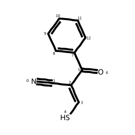 N#C/C(=C\S)C(=O)c1ccccc1